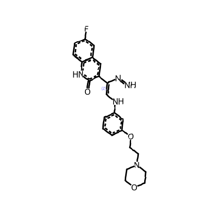 N=N/C(=C\Nc1cccc(OCCN2CCOCC2)c1)c1cc2cc(F)ccc2[nH]c1=O